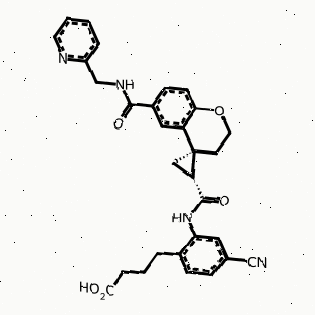 N#Cc1ccc(CCCC(=O)O)c(NC(=O)[C@@H]2C[C@]23CCOc2ccc(C(=O)NCc4ccccn4)cc23)c1